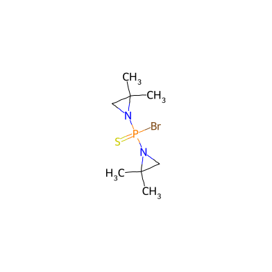 CC1(C)CN1P(=S)(Br)N1CC1(C)C